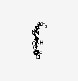 O=C(COc1ccc(Cl)c(F)c1)NC12CC(c3cnn(C4CC(OC(F)(F)F)C4)n3)(C1)C2